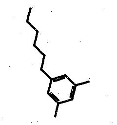 [CH2]CCCCCc1cc(C)cc(C)c1